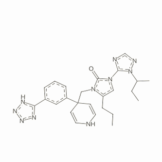 CCCc1cn(-c2ncnn2C(C)CC)c(=O)n1CC1(c2cccc(-c3nnn[nH]3)c2)C=CNC=C1